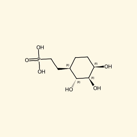 O=P(O)(O)CC[C@H]1CC[C@@H](O)[C@@H](O)[C@@H]1O